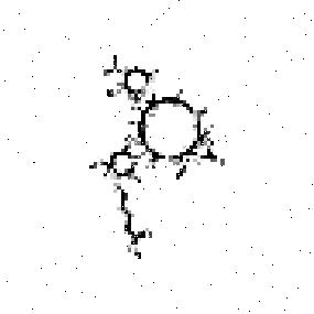 CC[C@H]1OC(=O)[C@H](C)[C@@H](OC2C[C@@](C)(OC)[C@@H](OCCCCC(=O)OC)[C@H](C)O2)[C@H](C)[C@@H](O[C@@H]2O[C@H](C)C[C@H](N(C)C)[C@H]2O)[C@](C)(O)C[C@@H](C)CN(C)[C@H](C)[C@@H]2OC(=O)O[C@]12C